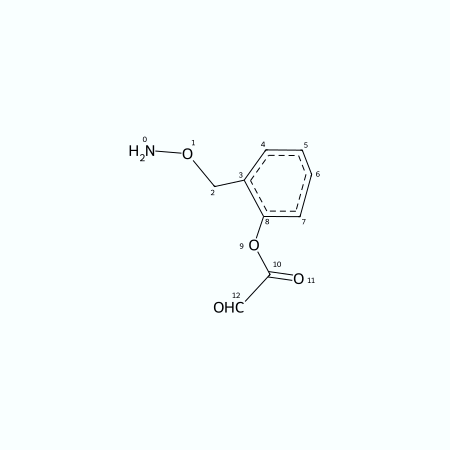 NOCc1ccccc1OC(=O)C=O